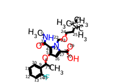 CNC(=O)c1c(OC(C)c2ccccc2F)cc(C(=O)O)n1COCC[Si](C)(C)C